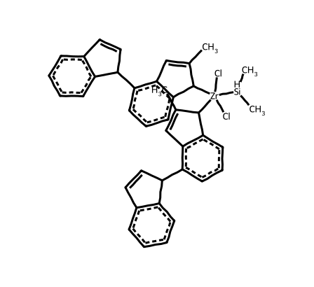 CC1=Cc2c(C3C=Cc4ccccc43)cccc2[CH]1[Zr]([Cl])([Cl])([CH]1C(C)=Cc2c(C3C=Cc4ccccc43)cccc21)[SiH](C)C